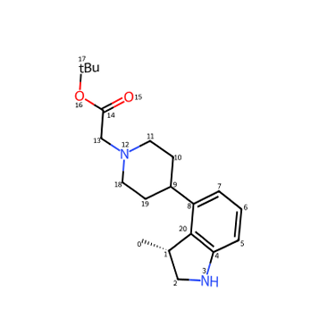 C[C@H]1CNc2cccc(C3CCN(CC(=O)OC(C)(C)C)CC3)c21